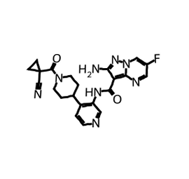 N#CC1(C(=O)N2CCC(c3ccncc3NC(=O)c3c(N)nn4cc(F)cnc34)CC2)CC1